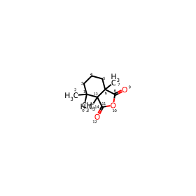 CC1(C)CCCC2(C)C(=O)OC(=O)C12C